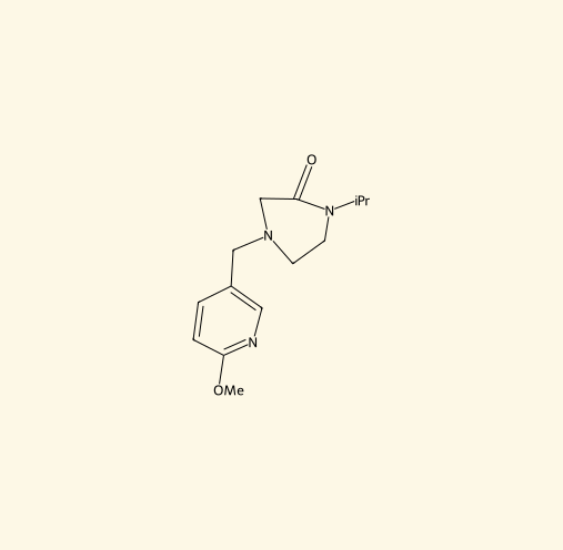 COc1ccc(CN2CCN(C(C)C)C(=O)C2)cn1